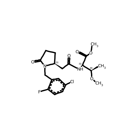 COC(=O)[C@@H](NC(=O)C[C@@H]1CCC(=O)N1Cc1cc(Cl)ccc1F)[C@@H](C)OC